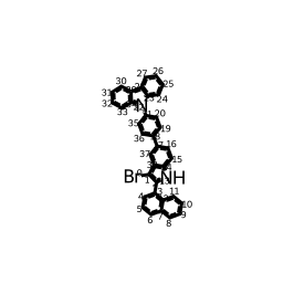 Brc1c(-c2cccc3ccccc23)[nH]c2ccc(-c3ccc(-n4c5ccccc5c5ccccc54)cc3)cc12